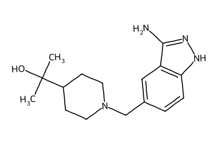 CC(C)(O)C1CCN(Cc2ccc3[nH]nc(N)c3c2)CC1